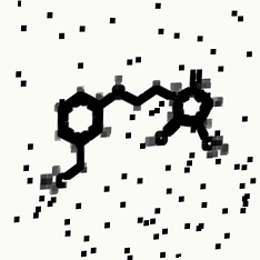 CCc1cccc(OCCn2[nH]cc(C)c2=O)c1